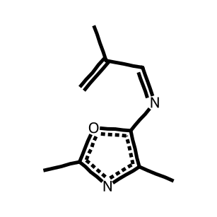 C=C(C)/C=N\c1oc(C)nc1C